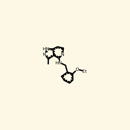 CCOc1ccccc1CNc1nccc2[nH]nc(C)c12